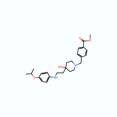 COC(=O)c1ccc(CN2CCC(O)(CCNc3ccc(OC(C)C)cc3)CC2)cc1